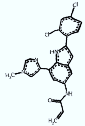 C=CC(=O)Nc1cc(-c2cn(C)cn2)c2[nH]c(-c3ccc(Cl)cc3Cl)cc2c1